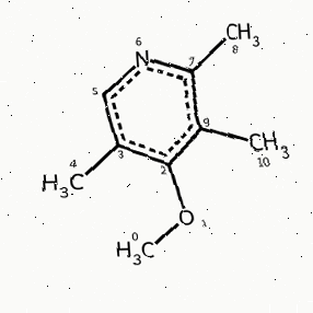 COc1c(C)cnc(C)c1C